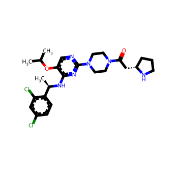 CC(C)Oc1cnc(N2CCN(C(=O)C[C@@H]3CCCN3)CC2)nc1N[C@H](C)c1ccc(Cl)cc1Cl